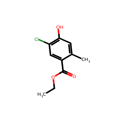 CCOC(=O)c1cc(Cl)c(O)cc1C